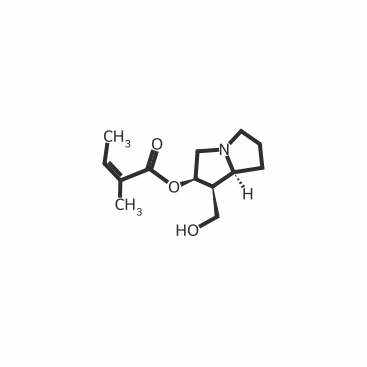 C/C=C(/C)C(=O)O[C@H]1CN2CCC[C@H]2[C@H]1CO